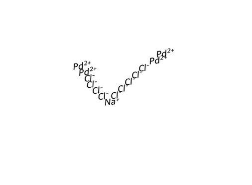 [Cl-].[Cl-].[Cl-].[Cl-].[Cl-].[Cl-].[Cl-].[Cl-].[Cl-].[Na+].[Pd+2].[Pd+2].[Pd+2].[Pd+2]